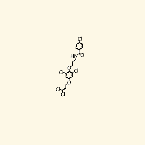 O=C(NCCCOc1c(Cl)cc(OCC=C(Cl)Cl)cc1Cl)c1ccc(Cl)cc1